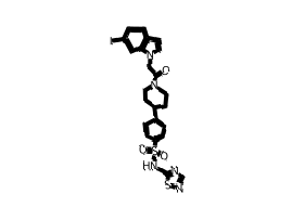 O=C(Cn1ccc2ccc(I)cc21)N1CCC(c2ccc(S(=O)(=O)Nc3ncns3)cc2)CC1